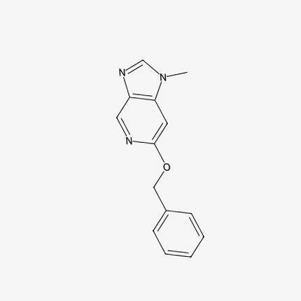 Cn1cnc2cnc(OCc3ccccc3)cc21